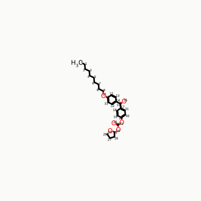 CCCCCCCCCCOc1ccc(C(=O)c2ccc(OC(=O)O[C@@H]3CCCO3)cc2)cc1